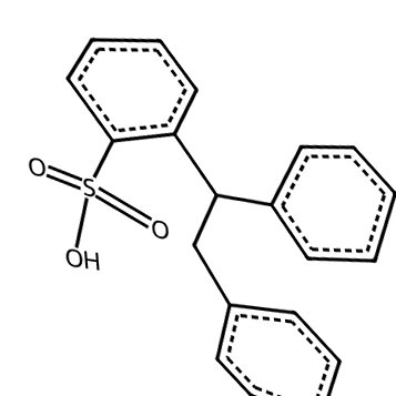 O=S(=O)(O)c1ccccc1C(Cc1ccccc1)c1ccccc1